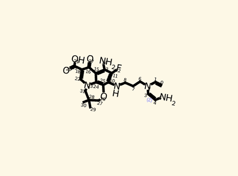 C=CN(/C=C\N)CCCNc1c(F)c(N)c2c(=O)c(C(=O)O)cn3c2c1OCC(C)(C)C3